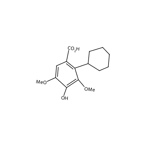 COc1cc(C(=O)O)c(C2CCCCC2)c(OC)c1O